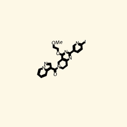 COCCOc1nc(-c2ccc(I)nc2)nc2c1CN(C(=O)c1cnn3ccccc13)CC2